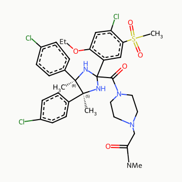 CCOc1cc(Cl)c(S(C)(=O)=O)cc1C1(C(=O)N2CCN(CC(=O)NC)CC2)N[C@@](C)(c2ccc(Cl)cc2)[C@@](C)(c2ccc(Cl)cc2)N1